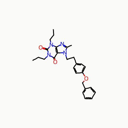 CCCn1c(=O)c2c(nc(C)n2CCc2ccc(OCc3ccccc3)cc2)n(CCC)c1=O